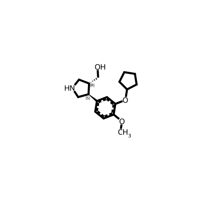 COc1ccc([C@H]2CNC[C@@H]2CO)cc1OC1CCCC1